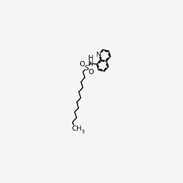 CCCCCCCCCCCCS(=O)(=O)Nc1cccc2cccnc12